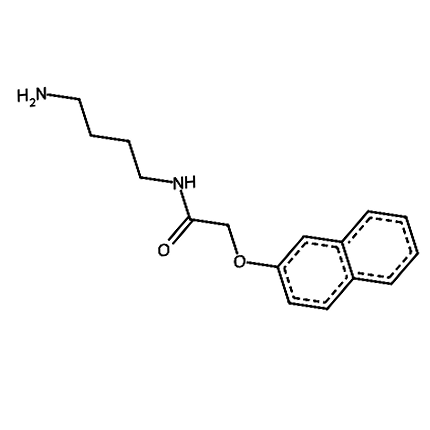 NCCCCNC(=O)COc1ccc2ccccc2c1